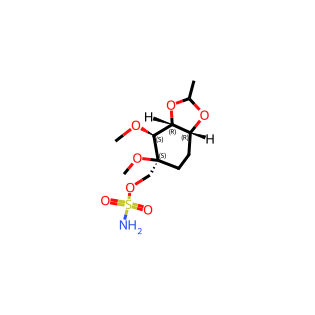 CO[C@H]1[C@@H]2OC(C)O[C@@H]2CC[C@@]1(COS(N)(=O)=O)OC